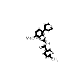 COc1ccc(C2CCOCC2)c2sc(NC(=O)c3ccc(C)nc3)nc12